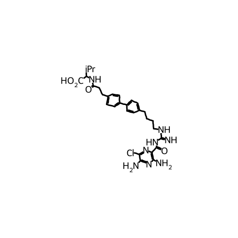 CC(C)C(NC(=O)CCc1ccc(-c2ccc(CCCCNC(=N)NC(=O)c3nc(Cl)c(N)nc3N)cc2)cc1)C(=O)O